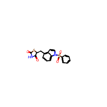 O=C1NC(=O)C(Cc2cccc3c2ccn3S(=O)(=O)c2ccccc2)S1